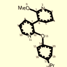 COc1ncccc1-c1cccnc1Oc1ccc(C(C)C)cc1